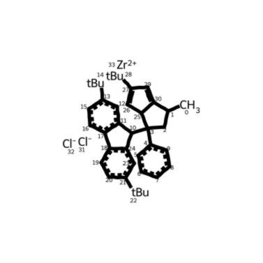 CC1CC(c2ccccc2)(C2c3cc(C(C)(C)C)ccc3-c3ccc(C(C)(C)C)cc32)C2C=C(C(C)(C)C)C=C12.[Cl-].[Cl-].[Zr+2]